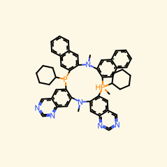 CN1c2cc3ccccc3cc2P(C2CCCCC2)c2cc3cncnc3cc2N(C)c2cc3ncncc3cc2[PH](C)(C2CCCCC2)c2cc3ccccc3cc21